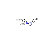 COc1ccc(CNc2ccnc(-c3ccc(C(C)C)cc3)n2)c(OC)c1